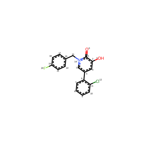 O=c1c(O)cc(-c2ccccc2Cl)cn1Cc1ccc(F)cc1